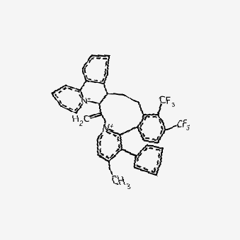 C=C1C2C(CCc3c(ccc(C(F)(F)F)c3C(F)(F)F)-c3c(-c4ccccc4)c(C)cc[n+]31)c1ccccc1-c1cccc[n+]12